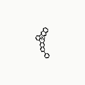 c1ccc(-c2ccc3cc4c(cc3c2)Cn2c3cc5ccccc5cc3c3cccc-4c32)cc1